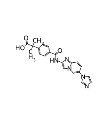 CC(C)(C(=O)O)c1ccc(C(=O)Nc2cn3cc(-n4ccnc4)ccc3n2)cc1